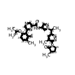 Cc1cc(C(C)n2cc(NC(=O)c3cncc(-c4c(OC(C)P)ccc(C)c4F)n3)cn2)nnc1N1CC[C@@H](C)C1=O